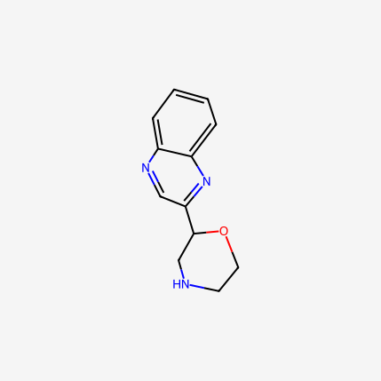 c1ccc2nc(C3CNCCO3)cnc2c1